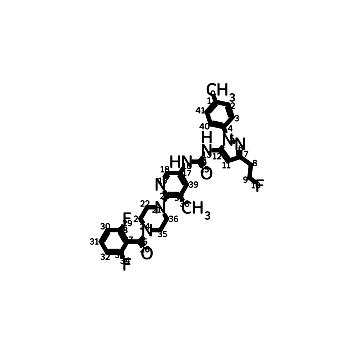 Cc1ccc(-n2nc(CCF)cc2NC(=O)Nc2cnc(N3CCN(C(=O)c4c(F)cccc4F)CC3)c(C)c2)cc1